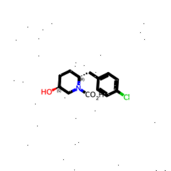 O=C(O)N1C[C@@H](O)CC[C@@H]1Cc1ccc(Cl)cc1